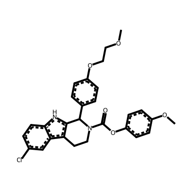 COCCOc1ccc(C2c3[nH]c4ccc(Cl)cc4c3CCN2C(=O)Oc2ccc(OC)cc2)cc1